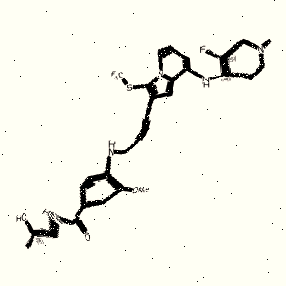 COc1cc(C(=O)NC[C@@H](C)O)ccc1NCC#Cc1cc2c(N[C@@H]3CCN(C)C[C@@H]3F)cccn2c1SC(F)(F)F